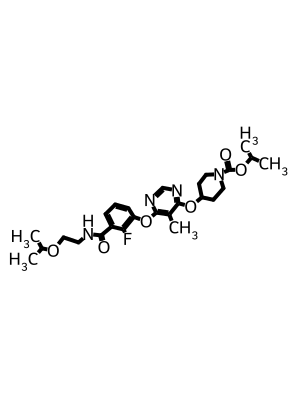 Cc1c(Oc2cccc(C(=O)NCCOC(C)C)c2F)ncnc1OC1CCN(C(=O)OC(C)C)CC1